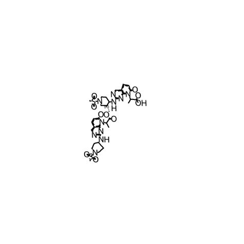 CC(C(=O)O)n1c(=O)ccc2cnc(NC3CCN(S(C)(=O)=O)C[C@H]3COC(=O)C(C)n3c(=O)ccc4cnc(NC5CCN(S(C)(=O)=O)CC5)nc43)nc21